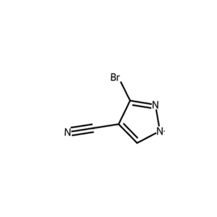 N#CC1=C[N]N=C1Br